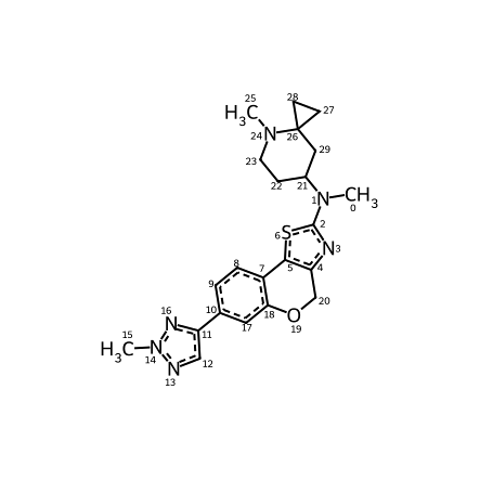 CN(c1nc2c(s1)-c1ccc(-c3cnn(C)n3)cc1OC2)C1CCN(C)C2(CC2)C1